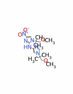 COCC(C)(C)n1cnc(Nc2nc([N+](=O)[O-])cn2C(C)(C)COC)c1